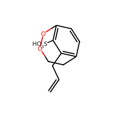 C=CCc1c2ccc(c1S(=O)(=O)O)OOCC2